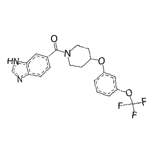 O=C(c1ccc2nc[nH]c2c1)N1CCC(Oc2cccc(OC(F)(F)F)c2)CC1